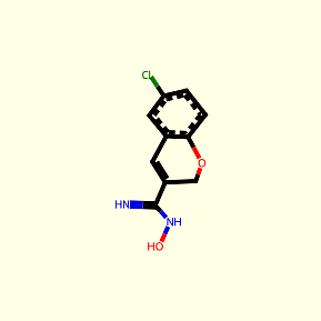 N=C(NO)C1=Cc2cc(Cl)ccc2OC1